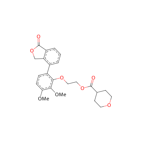 COc1ccc(-c2cccc3c2COC3=O)c(OCCOC(=O)C2CCOCC2)c1OC